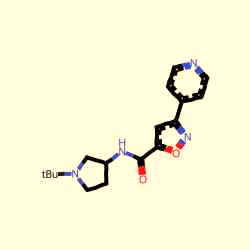 CC(C)(C)N1CCC(NC(=O)c2cc(-c3ccncc3)no2)C1